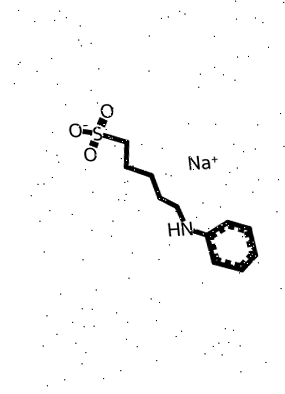 O=S(=O)([O-])CCCCCNc1ccccc1.[Na+]